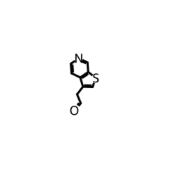 O=CCc1csc2cnccc12